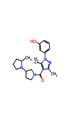 Cc1nn(-c2cccc(O)c2)c(C)c1C(=O)N1CCC(N2CCCC2C)C1